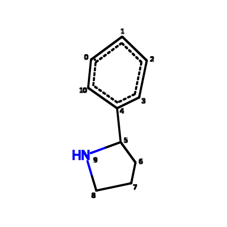 [c]1cccc(C2CCCN2)c1